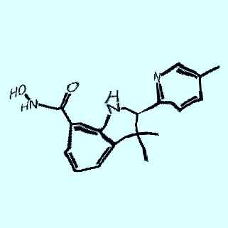 Cc1ccc([C@@H]2Nc3c(C(=O)NO)cccc3C2(C)C)nc1